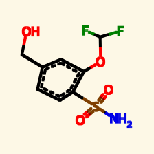 NS(=O)(=O)c1ccc(CO)cc1OC(F)F